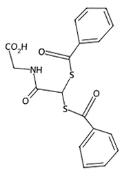 O=C(O)CNC(=O)C(SC(=O)c1ccccc1)SC(=O)c1ccccc1